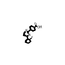 O=C(O)c1ccc(-c2nccc(-c3ccccc3F)n2)cc1